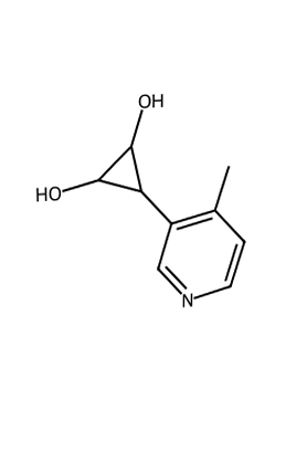 Cc1ccncc1C1C(O)C1O